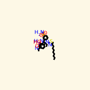 CCCCCCCCc1csc(N2c3ccc(S(N)(=O)=O)cc3C(N)(CC(O)c3cc(C)no3)C2(CC)c2ccccc2)n1